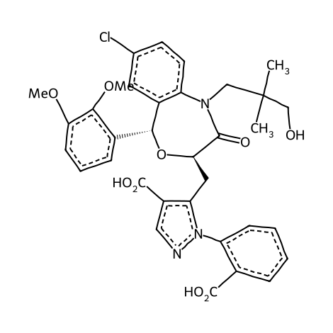 COc1cccc([C@H]2O[C@H](Cc3c(C(=O)O)cnn3-c3ccccc3C(=O)O)C(=O)N(CC(C)(C)CO)c3ccc(Cl)cc32)c1OC